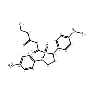 C=C(CC(=O)OCC)P1(=O)N(c2ccc(C)cc2)CCN1c1ccc(OC)cc1